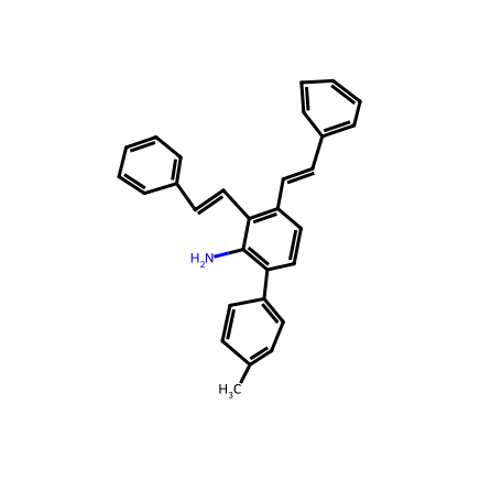 Cc1ccc(-c2ccc(C=Cc3ccccc3)c(C=Cc3ccccc3)c2N)cc1